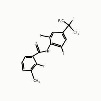 Cc1cccc(C(=O)Nc2c(I)cc(C(F)(C(F)(F)F)C(F)(F)F)cc2I)c1F